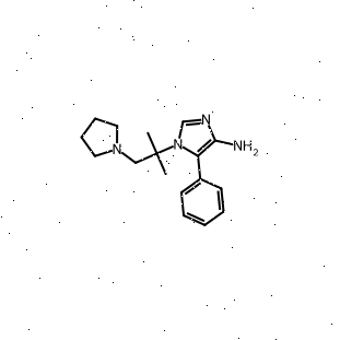 CC(C)(CN1CCCC1)n1cnc(N)c1-c1ccccc1